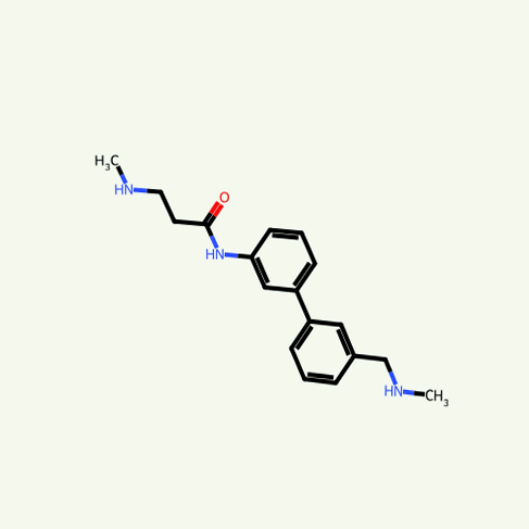 CNCCC(=O)Nc1cccc(-c2cccc(CNC)c2)c1